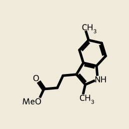 COC(=O)CCc1c(C)[nH]c2ccc(C)cc12